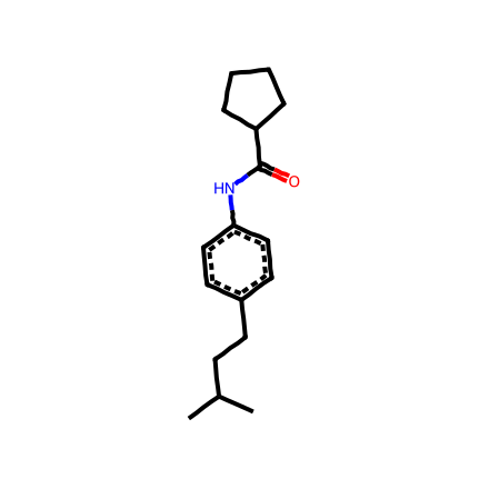 CC(C)CCc1ccc(NC(=O)C2CCCC2)cc1